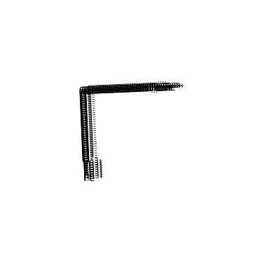 [Fe+3].[Fe+3].[Fe+3].[Fe+3].[Fe+3].[Fe+3].[Fe+3].[Fe+3].[Fe+3].[Fe+3].[Fe+3].[Fe+3].[Fe+3].[Fe+3].[Fe+3].[Fe+3].[O-2].[O-2].[O-2].[O-2].[O-2].[O-2].[O-2].[O-2].[O-2].[O-2].[O-2].[O-2].[O-2].[O-2].[O-2].[O-2].[O-2].[O-2].[O-2].[O-2].[O-2].[O-2].[O-2].[O-2].[O-2].[O-2].[O-2].[O-2].[O-2].[O-2].[O-2].[O-2].[O-2].[O-2].[O-2].[O-2].[O-2].[O-2].[O-2].[O-2].[O-2].[O-2].[O-2].[O-2].[O-2].[O-2].[O-2].[O-2].[O-2].[O-2].[O-2].[O-2].[O-2].[O-2].[O-2].[O-2].[O-2].[O-2].[O-2].[O-2].[O-2].[O-2]